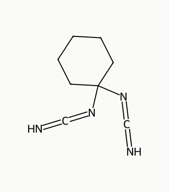 N=C=NC1(N=C=N)CCCCC1